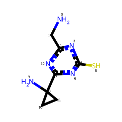 NCc1nc(S)nc(C2(N)CC2)n1